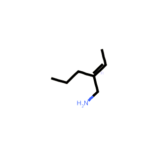 C/C=C(/CN)CCC